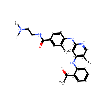 CCN(CC)CCNC(=O)c1ccc(Nc2cc(Nc3ccccc3C(=O)NC)c(C(F)(F)F)cn2)c(OC)c1